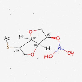 CC(=O)S[C@H]1CO[C@H]2[C@@H]1OC[C@H]2ON(O)O